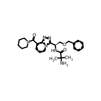 CC(C)(N)C(=O)N[C@H](COCc1ccccc1)c1nnc2c(C(=O)N3CCCCC3)cccn12